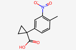 Cc1ccc(C2(C(=O)O)CC2)cc1[N+](=O)[O-]